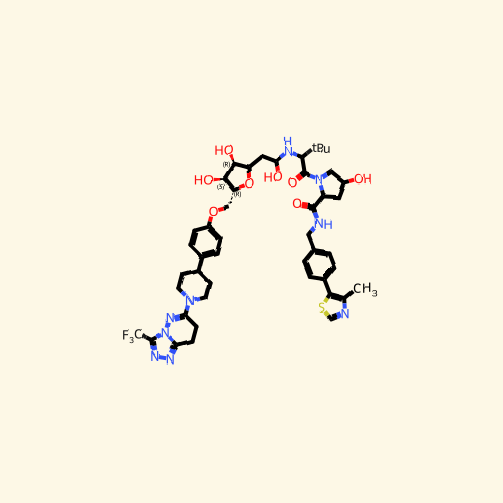 Cc1ncsc1-c1ccc(CNC(=O)C2CC(O)CN2C(=O)C(NC(O)CC2O[C@H](COc3ccc(C4CCN(C5=Nn6c(nnc6C(F)(F)F)CC5)CC4)cc3)[C@@H](O)[C@H]2O)C(C)(C)C)cc1